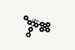 CC1(C)c2cc(-c3ccccc3)ccc2N(c2ccc(C3=CCCC=C3)cc2)c2ccc(-c3ccc4c(c3)C3(c5ccccc5-c5ccccc53)c3ccccc3-4)cc21